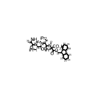 CC(C)C[C@@H](C(=O)N(C)[C@@H](CC(C)C)C(=O)N(C)[C@@](C(=O)O)(C(=O)OCC1c2ccccc2-c2ccccc21)C(C)C)N(C)C(=O)[C@@H](C)N